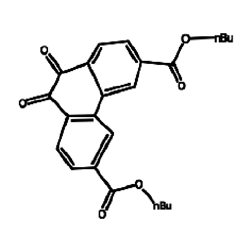 CCCCOC(=O)c1ccc2c(c1)-c1cc(C(=O)OCCCC)ccc1C(=O)C2=O